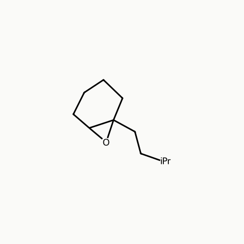 CC(C)CCC12CCCCC1O2